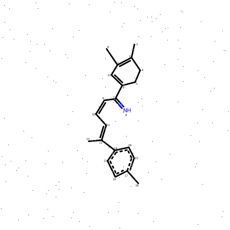 CC1=C(C)CCC(C(=N)/C=C\C=C(/C)c2ccc(C)cc2)=C1